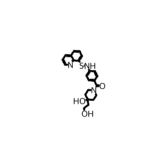 O=C(c1ccc(NSc2cccc3cccnc23)cc1)N1CCC(O)(CCO)CC1